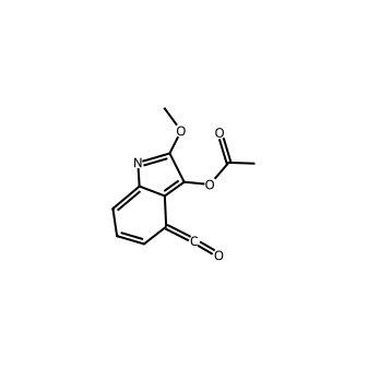 COC1=Nc2cccc(=C=O)c2=C1OC(C)=O